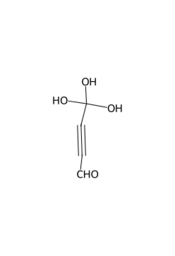 O=CC#CC(O)(O)O